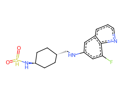 O=[SH](=O)N[C@H]1CC[C@H](CNc2cc(F)c3ncccc3c2)CC1